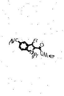 CCC1c2cc(C#N)ccc2N(C(C)C)C1C(=O)OC